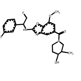 COc1cc(C(=O)N2CCC(O)C(C)C2)cc2nc(NC(CF)c3cccc(Cl)c3)oc12